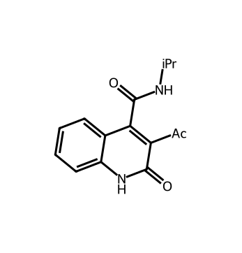 CC(=O)c1c(C(=O)NC(C)C)c2ccccc2[nH]c1=O